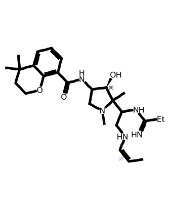 C/C=C\NCC(NC(=N)CC)C1(C)[C@H](O)C(NC(=O)c2cccc3c2OCCC3(C)C)CN1C